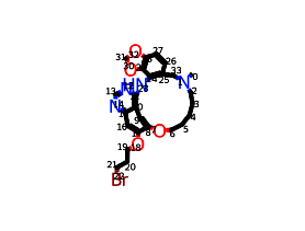 CN1CCCCCOc2cc3c(ncnc3cc2OCCCBr)Nc2c(ccc3c2OCO3)C1